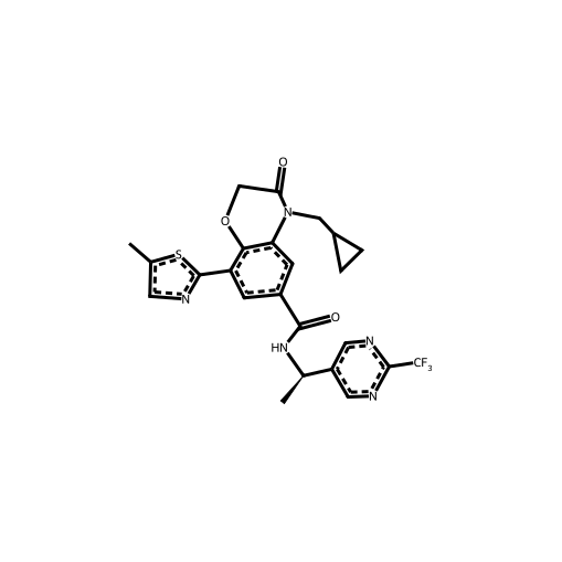 Cc1cnc(-c2cc(C(=O)N[C@H](C)c3cnc(C(F)(F)F)nc3)cc3c2OCC(=O)N3CC2CC2)s1